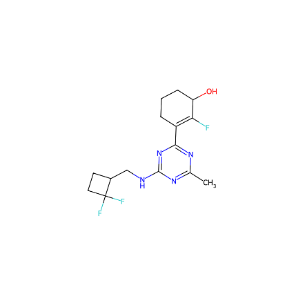 Cc1nc(NCC2CCC2(F)F)nc(C2=C(F)C(O)CCC2)n1